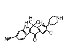 CC1(C)c2cc(N3CCNCC3)c(Cl)cc2C(=O)c2c1[nH]c1cc(C#N)ccc21